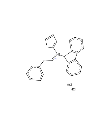 C1=CC[C](/[Hf](=[CH]\Cc2ccccc2)[CH]2c3ccccc3-c3ccccc32)=C1.Cl.Cl